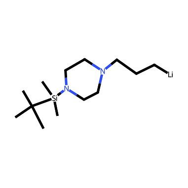 [Li][CH2]CCN1CCN([Si](C)(C)C(C)(C)C)CC1